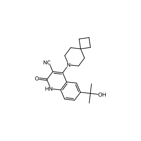 CC(C)(O)c1ccc2[nH]c(=O)c(C#N)c(N3CCC4(CCC4)CC3)c2c1